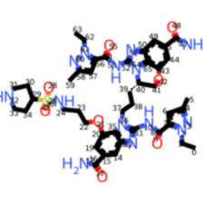 CCn1nc(C)cc1C(=O)Nc1nc2cc(C(N)=O)cc(OCCCNS(=O)(=O)C3CCNCC3)c2n1CCC[C@H]1COc2cc(C(N)=O)cc3nc(NC(=O)c4cc(C)nn4CC)n1c23